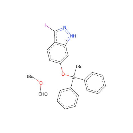 CC(C)(C)OC=O.CC(C)(C)[Si](Oc1ccc2c(I)n[nH]c2c1)(c1ccccc1)c1ccccc1